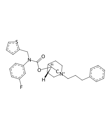 O=C(O[C@H]1C[N+]2(CCCc3ccccc3)CCC1CC2)N(Cc1cccs1)c1cccc(F)c1